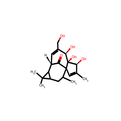 CC1=CC23C(=O)[C@@H](C=C(CO)[C@@H](O)[C@]2(O)[C@H]1O)C1C(CC3C)C1(C)C